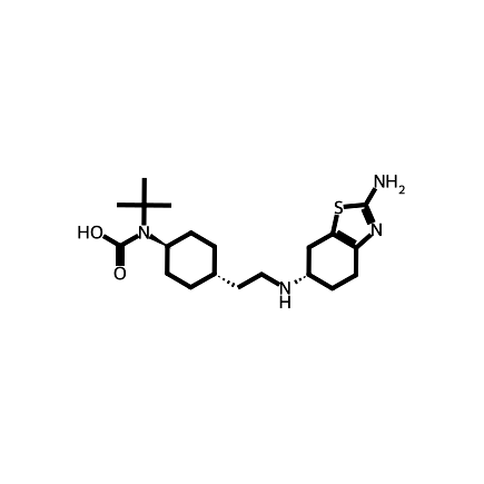 CC(C)(C)N(C(=O)O)[C@H]1CC[C@H](CCN[C@H]2CCc3nc(N)sc3C2)CC1